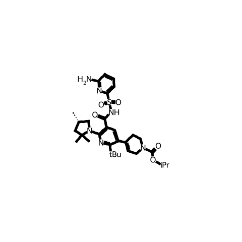 CC(C)OC(=O)N1CC=C(c2cc(C(=O)NS(=O)(=O)c3cccc(N)n3)c(N3C[C@@H](C)CC3(C)C)nc2C(C)(C)C)CC1